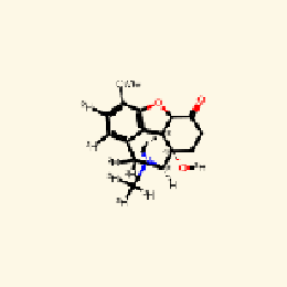 [2H]O[C@@]12CCC(=O)C3Oc4c(OC)c([2H])c([2H])c5c4[C@@]31CCN(C([2H])([2H])[2H])[C@@H]2C5([2H])[2H]